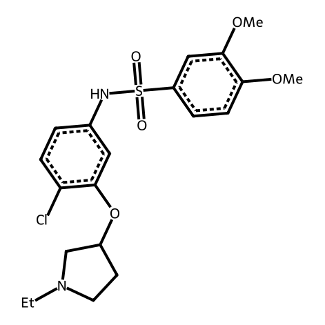 CCN1CCC(Oc2cc(NS(=O)(=O)c3ccc(OC)c(OC)c3)ccc2Cl)C1